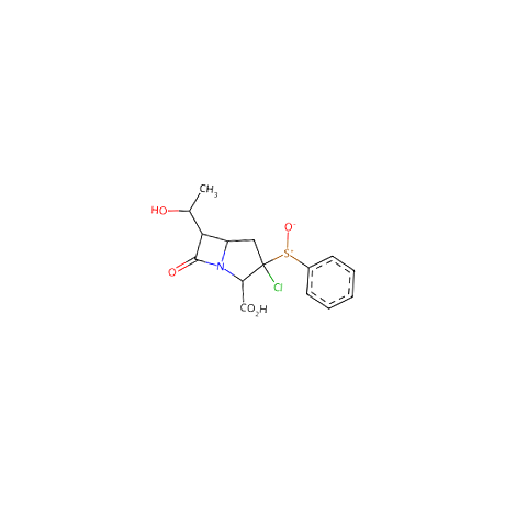 CC(O)C1C(=O)N2C1CC(Cl)([S+]([O-])c1ccccc1)C2C(=O)O